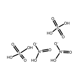 O=S(=O)(O)O.O=S(=O)(O)O.O=[N+]([O-])O.O=[N+]([O-])O